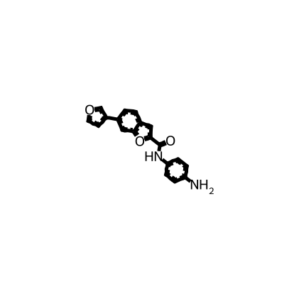 Nc1ccc(NC(=O)c2cc3ccc(-c4ccoc4)cc3o2)cc1